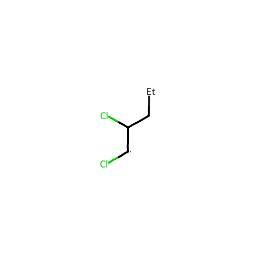 CCCC(Cl)[CH]Cl